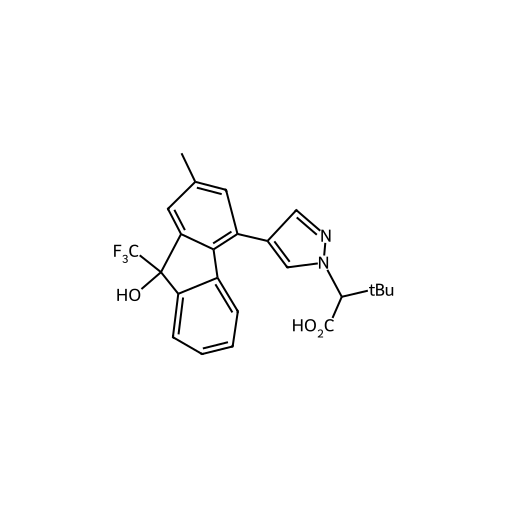 Cc1cc(-c2cnn(C(C(=O)O)C(C)(C)C)c2)c2c(c1)C(O)(C(F)(F)F)c1ccccc1-2